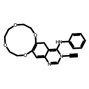 C#CN1C=NC2=CC3=C(CC2=C1Nc1ccccc1)OCCOCCOCCO3